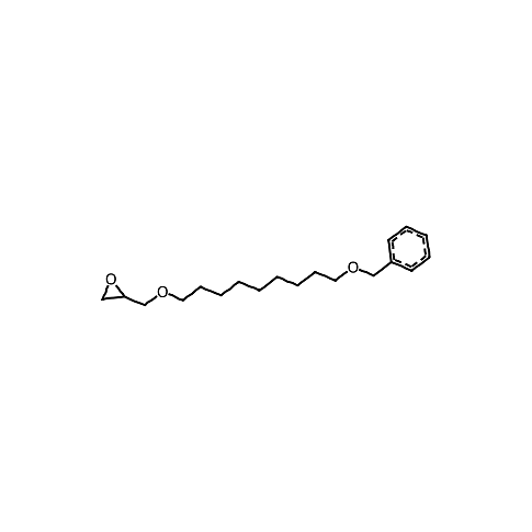 c1ccc(COCCCCCCCCCOCC2CO2)cc1